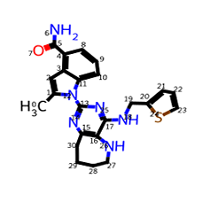 Cc1cc2c(C(N)=O)cccc2n1-c1nc2c(c(NCc3cccs3)n1)NCCCC2